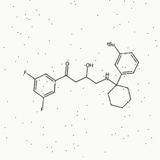 CC(C)(C)c1cccc(C2(NCC(O)CC(=O)c3cc(F)cc(F)c3)CCCCC2)c1